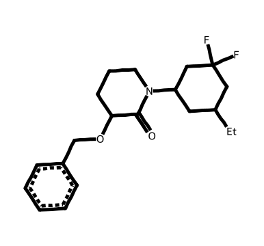 CCC1CC(N2CCCC(OCc3ccccc3)C2=O)CC(F)(F)C1